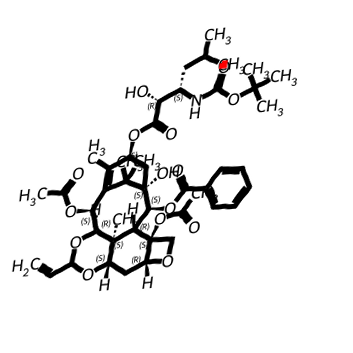 C=CC1O[C@H]2C[C@H]3OC[C@@]3(OC(C)=O)[C@H]3[C@H](OC(=O)c4ccccc4)[C@]4(O)C[C@H](OC(=O)[C@H](O)[C@H](CC(C)C)NC(=O)OC(C)(C)C)C(C)=C([C@H](OC(C)=O)[C@H](O1)[C@]23C)C4(C)C